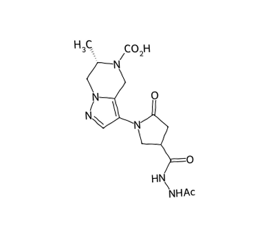 CC(=O)NNC(=O)C1CC(=O)N(c2cnn3c2CN(C(=O)O)[C@@H](C)C3)C1